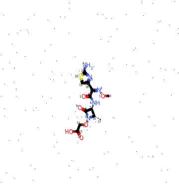 CON=C(C(=O)N[C@@H]1C(=O)N(OCC(=O)O)[C@H]1C)c1csc(N)n1